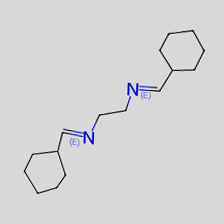 C(=N\CC/N=C/C1CCCCC1)/C1CCCCC1